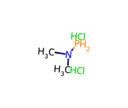 CN(C)P.Cl.Cl